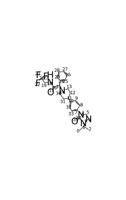 CC(C)n1ncn(-c2ccc(C3CCN(C(C(=O)NCC(F)(F)F)c4ccccc4)CC3)cc2)c1=O